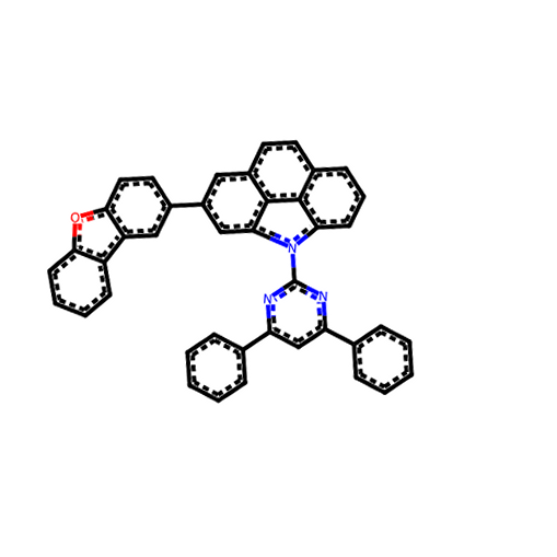 c1ccc(-c2cc(-c3ccccc3)nc(-n3c4cccc5ccc6cc(-c7ccc8oc9ccccc9c8c7)cc3c6c54)n2)cc1